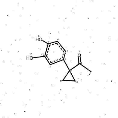 CC(=O)C1(c2ccc(O)c(O)c2)CC1